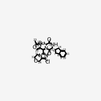 CC[C@H](C)[C@@H]1C(=O)N[C@H](C2Cc3ccccc3C2)C(=O)N1C(c1coc(C)n1)c1nc(Cl)c2n1CCOC2